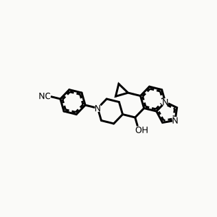 N#Cc1ccc(N2CCC(C(O)c3c(C4CC4)ccn4cncc34)CC2)cc1